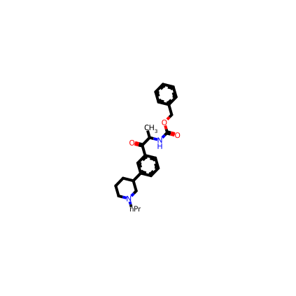 CCCN1CCCC(c2cccc(C(=O)C(C)NC(=O)OCc3ccccc3)c2)C1